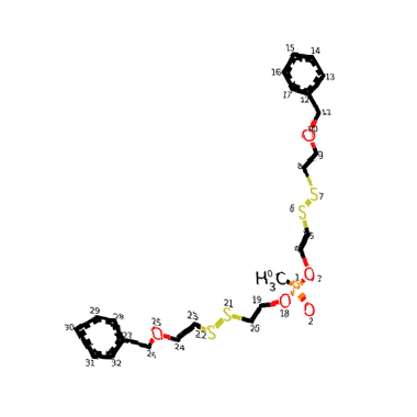 CP(=O)(OCCSSCCOCc1ccccc1)OCCSSCCOCc1ccccc1